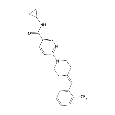 O=C(NC1CC1)c1ccc(N2CCC(=Cc3ccccc3C(F)(F)F)CC2)nc1